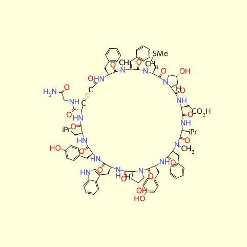 CSCC[C@H]1C(=O)N2C[C@H](O)C[C@H]2C(=O)N[C@@H](CC(=O)O)C(=O)N[C@@H](C(C)C)C(=O)N(C)[C@@H](Cc2ccccc2)C(=O)N[C@@H](Cc2ccc(O)cc2)C(=O)N2C[C@H](O)C[C@H]2C(=O)N[C@@H](Cc2c[nH]c3ccccc23)C(=O)N[C@@H](Cc2ccc(O)cc2)C(=O)N[C@@H](CC(C)C)C(=O)N[C@H](C(=O)NCC(N)=O)CSCC(=O)N[C@@H](Cc2ccccc2)C(=O)N(C)[C@@H](Cc2ccccc2)C(=O)N1C